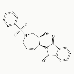 O=C1c2ccccc2C(=O)N1[C@H]1C=CCN(S(=O)(=O)c2ccccn2)C[C@H]1O